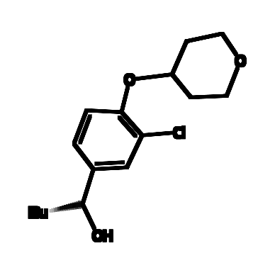 CC[C@@H](C)C(O)c1ccc(OC2CCOCC2)c(Cl)c1